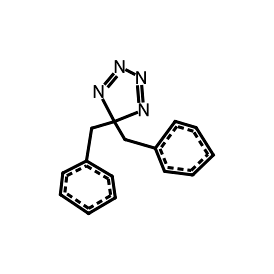 c1ccc(CC2(Cc3ccccc3)N=NN=N2)cc1